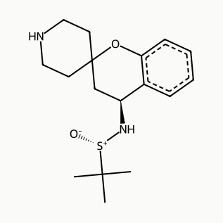 CC(C)(C)[S@+]([O-])N[C@H]1CC2(CCNCC2)Oc2ccccc21